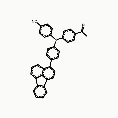 CC(=N)c1ccc(N(c2ccc(C#N)cc2)c2ccc(-c3ccc4c5c(cccc35)-c3ccccc3-4)cc2)cc1